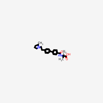 C[C@@H]1CCCN1CCc1ccc(-c2ccc(C(=O)NC(C)(C)C(=O)O)cc2)cc1